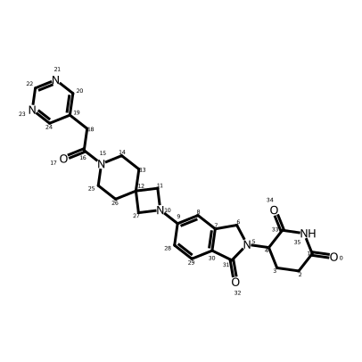 O=C1CCC(N2Cc3cc(N4CC5(CCN(C(=O)Cc6cncnc6)CC5)C4)ccc3C2=O)C(=O)N1